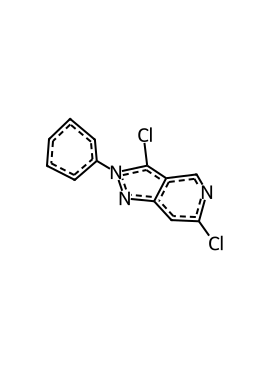 Clc1cc2nn(-c3ccccc3)c(Cl)c2cn1